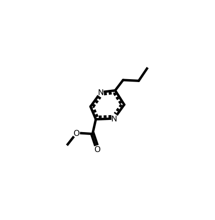 CCCc1cnc(C(=O)OC)cn1